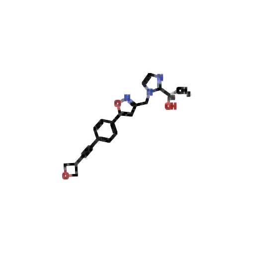 C[C@H](O)c1nccn1Cc1cc(-c2ccc(C#CC3COC3)cc2)on1